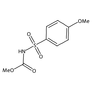 COC(=O)NS(=O)(=O)c1ccc(OC)cc1